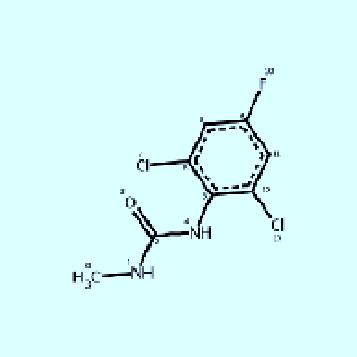 CNC(=O)Nc1c(Cl)cc(F)cc1Cl